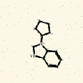 [C]1NC2C=CC=CC2N1C1CCCC1